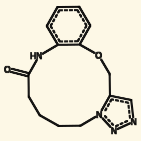 O=C1CCCCn2nncc2COc2ccccc2N1